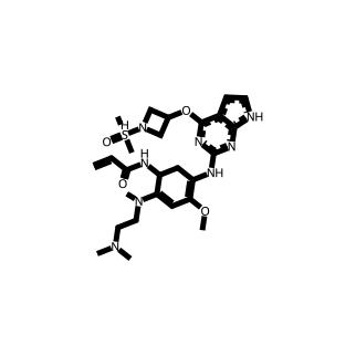 C=CC(=O)NC1CC(Nc2nc(OC3CN([SH](C)(C)=O)C3)c3cc[nH]c3n2)=C(OC)C=C1N(C)CCN(C)C